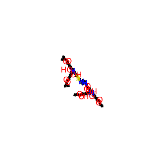 CCCCOC(=O)CCCCC(O)CN(CCCC(=O)OCCN1CCN(CCSSCCCCN(CC(O)CCCCC(=O)OCC(CC)CC)CC(O)CCCCC(=O)OCC(CC)CC)CC1)CC(O)CCCCC(=O)OCCCC